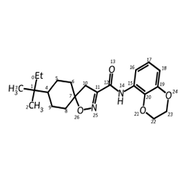 CCC(C)(C)C1CCC2(CC1)CC(C(=O)Nc1cccc3c1OCCO3)=NO2